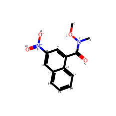 CON(C)C(=O)c1cc([N+](=O)[O-])cc2ccccc12